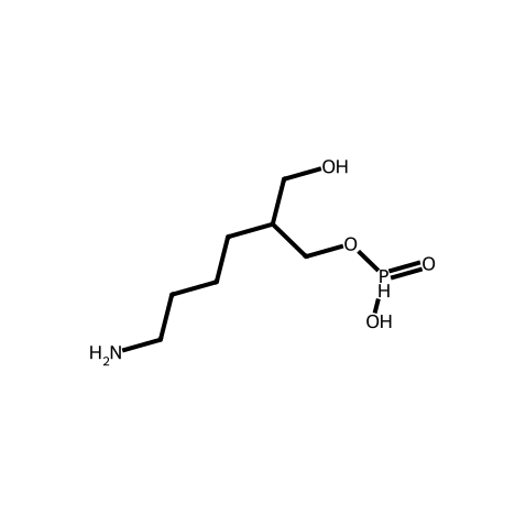 NCCCCC(CO)CO[PH](=O)O